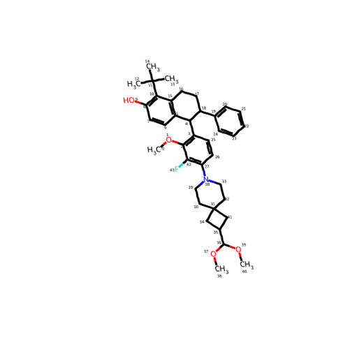 COc1c(C2c3ccc(O)c(C(C)(C)C)c3CCC2c2ccccc2)ccc(N2CCC3(CC2)CC(C(OC)OC)C3)c1F